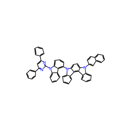 c1ccc(-c2cc(-c3ccccc3)nc(-n3c4ccccc4c4c(-n5c6ccccc6c6c7c8ccccc8n(-c8ccc9ccccc9c8)c7ccc65)cccc43)n2)cc1